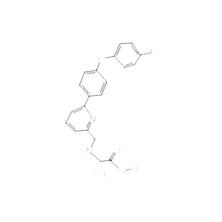 COC(=O)[C@H](C)NCc1cccc(-c2ccc(Oc3ccc(F)cc3)cc2)n1